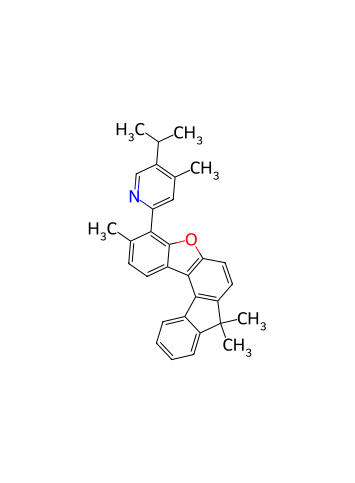 Cc1cc(-c2c(C)ccc3c2oc2ccc4c(c23)-c2ccccc2C4(C)C)ncc1C(C)C